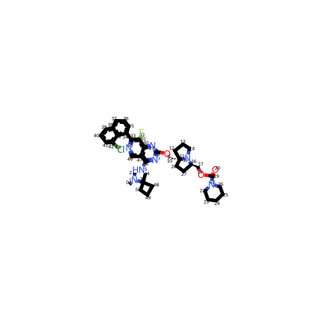 CN(C)C1(CNc2nc(OC[C@]34CCCN3[C@@H](COC(=O)N3CCCCC3)CC4)nc3c(F)c(-c4cccc5cccc(Cl)c45)ncc23)CCC1